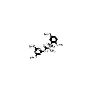 COc1ccc(OC)c(S(=O)(=O)N(C)C(=O)Nc2nc(OC)nc(OC)n2)c1